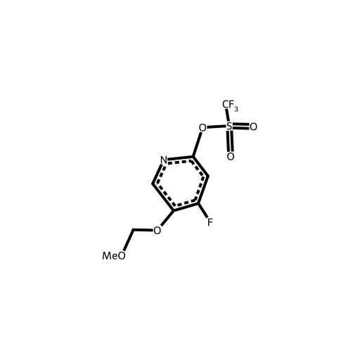 COCOc1cnc(OS(=O)(=O)C(F)(F)F)cc1F